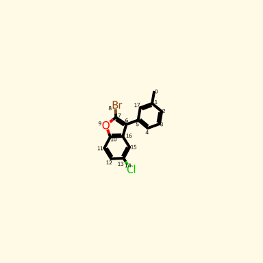 Cc1cccc(-c2c(Br)oc3ccc(Cl)cc23)c1